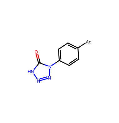 CC(=O)c1ccc(-n2nn[nH]c2=O)cc1